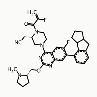 C=C(F)C(=O)N1CCN(c2nc(OC[C@@H]3CCCN3C)nc3cc(-c4cccc5c4C4CCCC4C5)c(F)cc23)C[C@@H]1CC#N